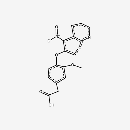 COc1cc(CC(=O)O)ccc1Oc1ccc2ncccc2c1[N+](=O)[O-]